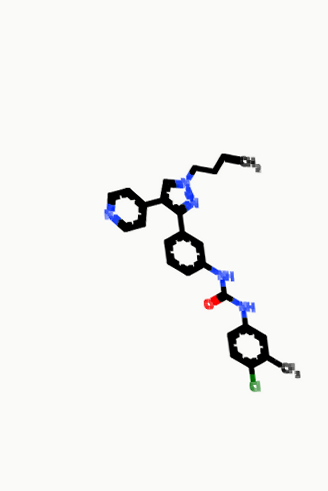 C=CCCn1cc(-c2ccncc2)c(-c2cccc(NC(=O)Nc3ccc(Cl)c(C(F)(F)F)c3)c2)n1